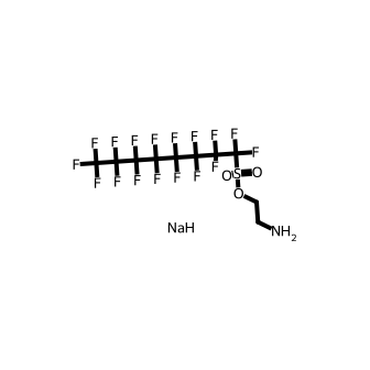 NCCOS(=O)(=O)C(F)(F)C(F)(F)C(F)(F)C(F)(F)C(F)(F)C(F)(F)C(F)(F)C(F)(F)F.[NaH]